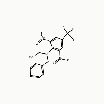 CCN(Cc1ccccc1)c1c([N+](=O)[O-])cc(C(F)(F)F)cc1[N+](=O)[O-]